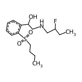 CCCCS(=O)(=O)c1ccccc1C(O)CNCC(F)CC